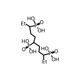 CCC(CCC(CCC(CC)P(=O)(O)O)P(=O)(O)O)P(=O)(O)O